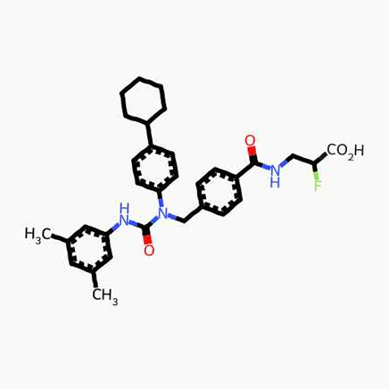 Cc1cc(C)cc(NC(=O)N(Cc2ccc(C(=O)NCC(F)C(=O)O)cc2)c2ccc(C3CCCCC3)cc2)c1